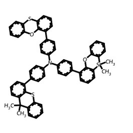 CC1(C)c2ccccc2Sc2c(-c3ccc(N(c4ccc(-c5cccc6c5Oc5ccccc5S6)cc4)c4ccc(-c5cccc6c5Oc5ccccc5[Si]6(C)C)cc4)cc3)cccc21